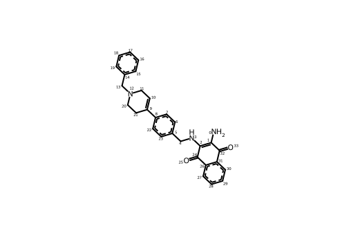 NC1=C(NCc2ccc(C3=CCN(Cc4ccccc4)CC3)cc2)C(=O)c2ccccc2C1=O